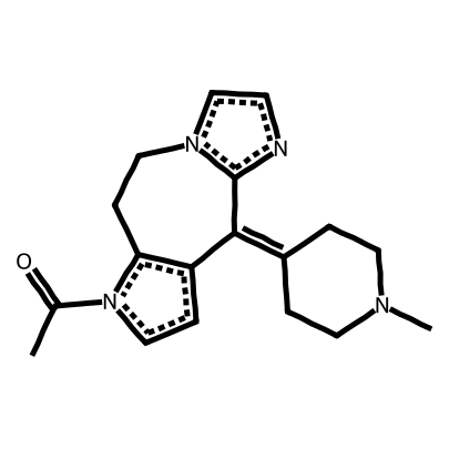 CC(=O)n1ccc2c1CCn1ccnc1C2=C1CCN(C)CC1